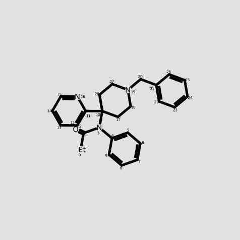 CCC(=O)N(c1ccccc1)C1(c2ccccn2)CCN(Cc2ccccc2)CC1